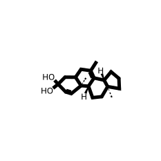 CC1=C2[C@@H]3CCC[C@@]3(C)CC[C@@H]2[C@@]2(C)C=CC(O)(O)CC2C1